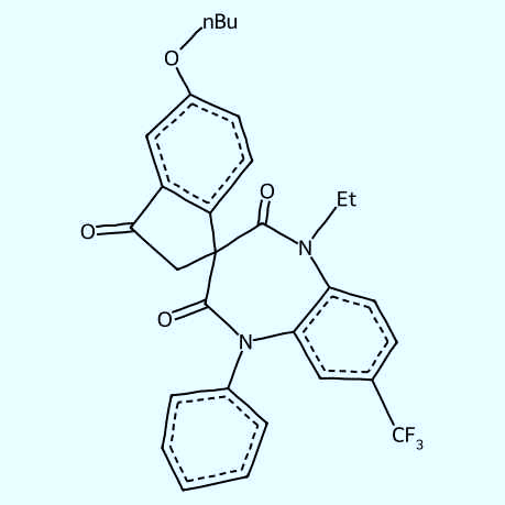 CCCCOc1ccc2c(c1)C(=O)CC21C(=O)N(CC)c2ccc(C(F)(F)F)cc2N(c2ccccc2)C1=O